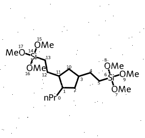 CCCC1CC(CC[Si](OC)(OC)OC)CC1CC[Si](OC)(OC)OC